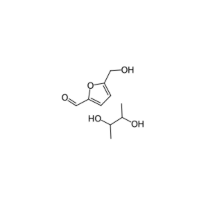 CC(O)C(C)O.O=Cc1ccc(CO)o1